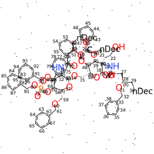 CCCCCCCCCCCC(=O)O[C@H](CCCCCCCCCCC)CC(=O)N[C@H]1[C@H](OC[C@H]2O[C@H](O)[C@](CCO)(NC(=O)C[C@@H](CCCCCCCCCCC)OCc3ccccc3)[C@@H](OCc3ccccc3)[C@@H]2OCc2ccccc2)O[C@H](COCc2ccccc2)[C@@H](OP(=O)(OCc2ccccc2)OCc2ccccc2)[C@@H]1OCc1ccccc1